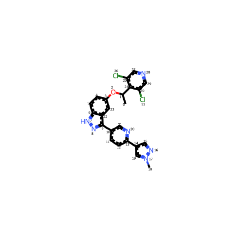 CC(Oc1ccc2[nH]nc(-c3ccc(-c4cnn(C)c4)nc3)c2c1)c1c(Cl)cncc1Cl